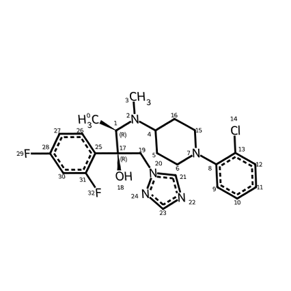 C[C@@H](N(C)C1CCN(c2ccccc2Cl)CC1)[C@](O)(Cn1cncn1)c1ccc(F)cc1F